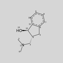 CN(C)C[C@H]1Cc2ccccc2[C@@H]1O